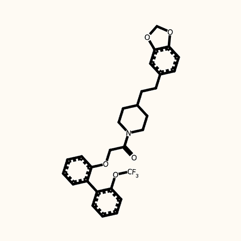 O=C(COc1ccccc1-c1ccccc1OC(F)(F)F)N1CCC(CCc2ccc3c(c2)OCO3)CC1